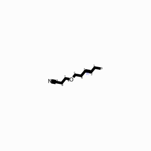 CC/C=C/CCOCCC#N